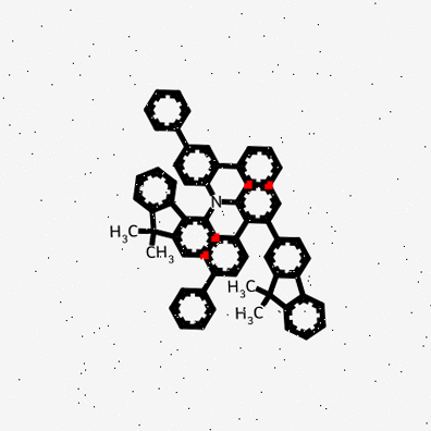 CC1(C)c2ccccc2-c2ccc(-c3cccc(N(c4ccc(-c5ccccc5)cc4-c4ccccc4)c4cccc5c4-c4ccccc4C5(C)C)c3-c3ccc(-c4ccccc4)cc3)cc21